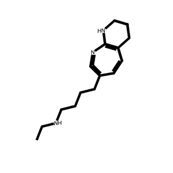 CCNCCCCC1=C=NC2=C(C=C1)CCCN2